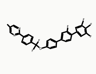 Cc1cnc(-c2ccc(C(F)(F)Oc3ccc(-c4ccc(-c5cc(F)c(F)c(F)c5)c(F)c4)cc3)cc2)nc1